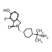 CC(C)(N)[C@H]1CC[C@H](CN2Cc3ccc(O)c(F)c3C2=O)CC1